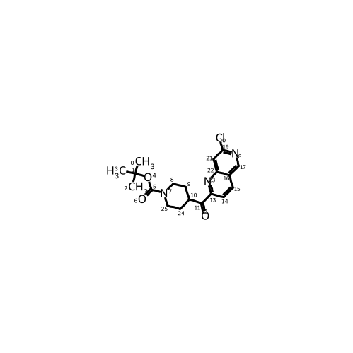 CC(C)(C)OC(=O)N1CCC(C(=O)c2ccc3cnc(Cl)cc3n2)CC1